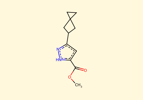 COC(=O)c1cc(C2CC3(CC3)C2)n[nH]1